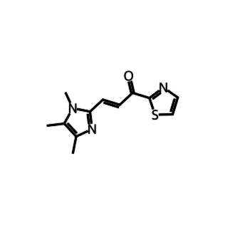 Cc1nc(/C=C/C(=O)c2nccs2)n(C)c1C